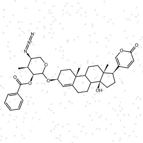 C[C@H]1[C@@H](N=[N+]=[N-])COC(O[C@@H]2C=C3CCC4C(CC[C@]5(C)[C@@H](c6ccc(=O)oc6)CC[C@]45O)[C@@]3(C)CC2)[C@H]1OC(=O)c1ccccc1